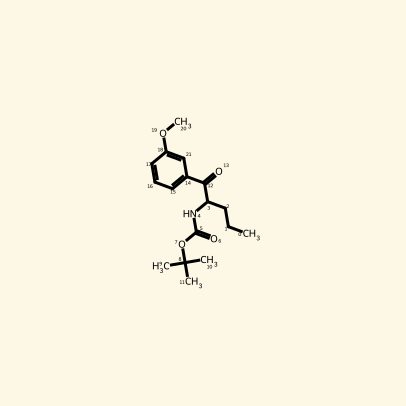 CCCC(NC(=O)OC(C)(C)C)C(=O)c1cccc(OC)c1